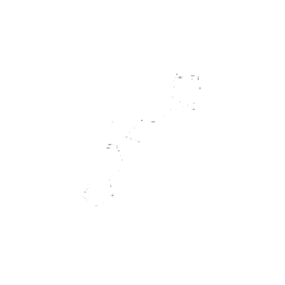 CC(C)(COc1ccccc1)C(=O)Cn1cccc1